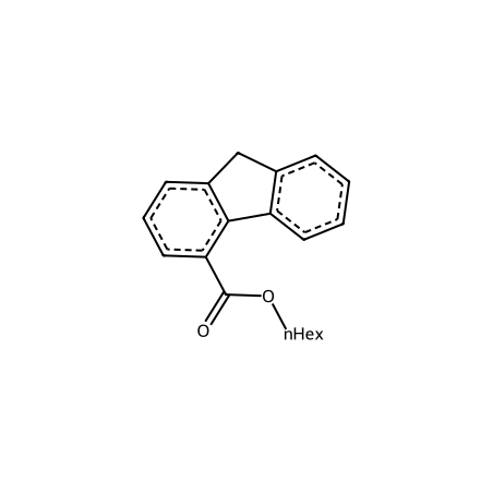 CCCCCCOC(=O)c1cccc2c1-c1ccccc1C2